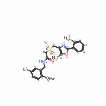 COc1ccc(Br)cc1CNC(=O)CS(=O)(=O)Cc1nc(-c2ccccc2C)oc1C